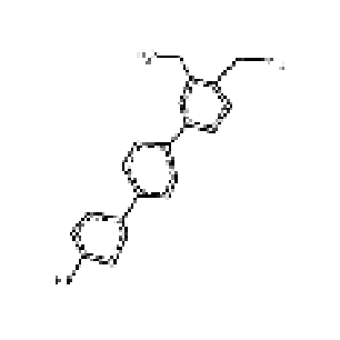 PCc1ccc(-c2ccc(-c3ccc(P)cc3)cc2)cc1CP